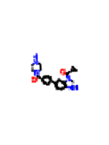 C[C@H]1CN(C(=O)C2CC2)c2cc(-c3ccc(C(=O)N4CCNCC4)cc3)ccc2N1